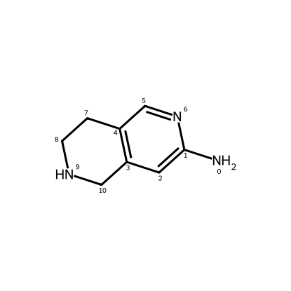 Nc1cc2c(cn1)CCNC2